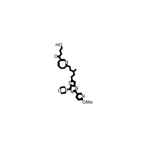 COc1ccc(-c2nc(N3CCOCC3)c3sc(CCC(C)CC/C4=N/C=C(C(=O)CCCO)\C=C/CC4)cc3n2)cn1